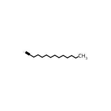 [C]#CCCCCCCCCCCCC